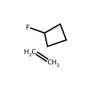 C=C.FC1CCC1